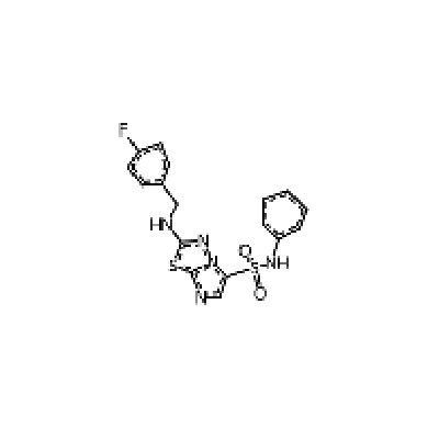 O=S(=O)(Nc1ccccc1)c1cnc2sc(NCc3ccc(F)cc3)nn12